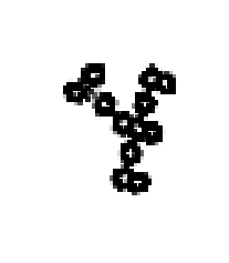 c1ccc2c(-c3ccc(-c4c5ccccc5c(-c5ccc(-c6cccc7ccccc67)cc5)c5cc(-c6ccc(-n7c8ccccc8c8ccccc87)cc6)ccc45)cc3)cccc2c1